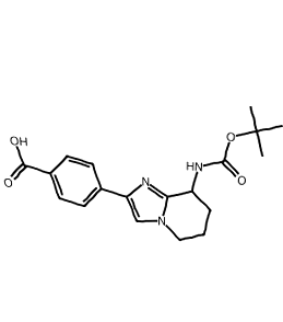 CC(C)(C)OC(=O)NC1CCCn2cc(-c3ccc(C(=O)O)cc3)nc21